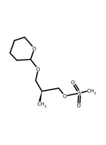 C[C@@H](COC1CCCCO1)COS(C)(=O)=O